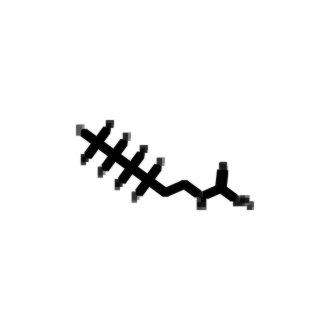 NC(=S)NCCC(F)(F)C(F)(F)C(F)(F)C(F)(F)F